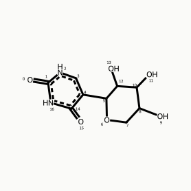 O=c1[nH]cc(C2OCC(O)C(O)C2O)c(=O)[nH]1